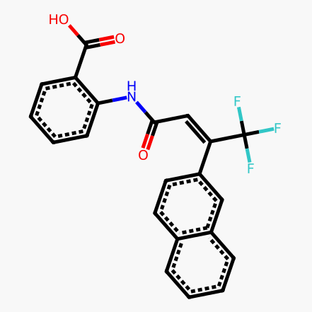 O=C(/C=C(\c1ccc2ccccc2c1)C(F)(F)F)Nc1ccccc1C(=O)O